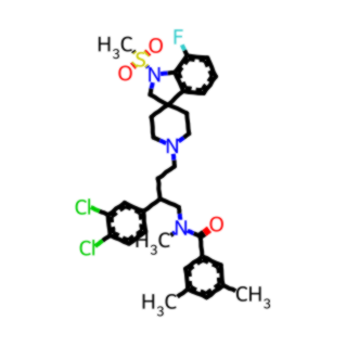 Cc1cc(C)cc(C(=O)N(C)CC(CCN2CCC3(CC2)CN(S(C)(=O)=O)c2c(F)cccc23)c2ccc(Cl)c(Cl)c2)c1